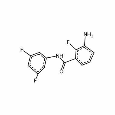 Nc1cccc(C(=O)Nc2cc(F)cc(F)c2)c1F